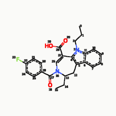 CCCn1c2c(c3ccccc31)CC(CC)N(C(=O)c1ccc(F)cc1)C=C2C(=O)O